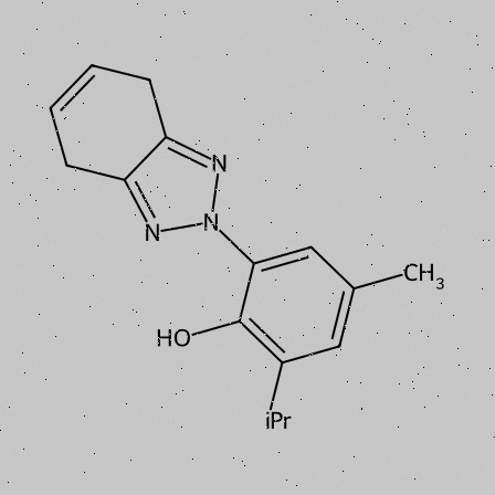 Cc1cc(C(C)C)c(O)c(-n2nc3c(n2)CC=CC3)c1